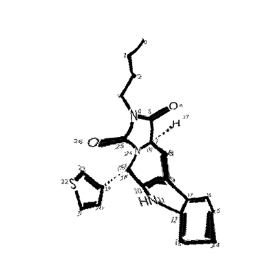 CCCCN1C(=O)[C@H]2Cc3c([nH]c4ccccc34)[C@H](c3ccsc3)N2C1=O